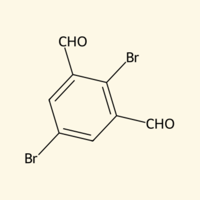 O=Cc1cc(Br)cc(C=O)c1Br